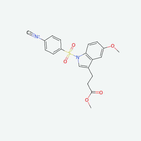 [C-]#[N+]c1ccc(S(=O)(=O)n2cc(CCC(=O)OC)c3cc(OC)ccc32)cc1